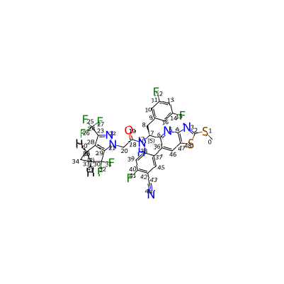 CSc1nc2nc([C@H](Cc3cc(F)cc(F)c3)NC(=O)Cn3nc(C(F)(F)F)c4c3C(F)(F)[C@@H]3C[C@H]43)c(-c3ccc(F)c(C#N)c3)cc2s1